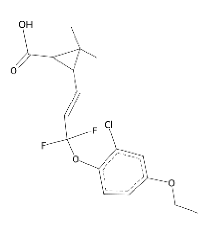 CCOc1ccc(OC(F)(F)C=CC2C(C(=O)O)C2(C)C)c(Cl)c1